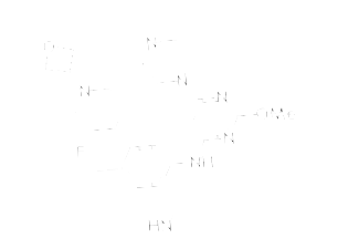 COc1nc(Nc2cc(C3CCN(C4COC4)CC3F)c(C)cc2C=N)cc(N2CCN(C)CC2)n1